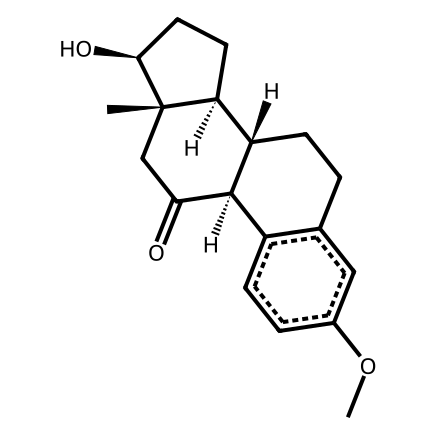 COc1ccc2c(c1)CC[C@@H]1[C@@H]2C(=O)C[C@]2(C)[C@@H](O)CC[C@@H]12